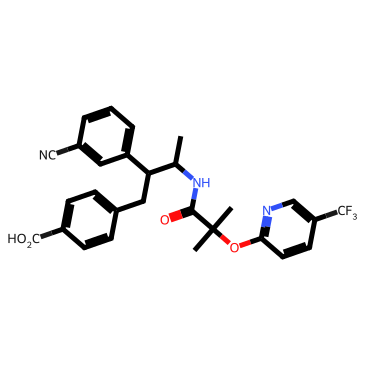 CC(NC(=O)C(C)(C)Oc1ccc(C(F)(F)F)cn1)C(Cc1ccc(C(=O)O)cc1)c1cccc(C#N)c1